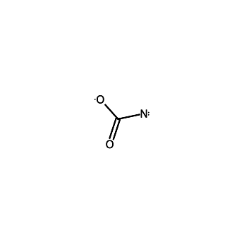 [N]C([O])=O